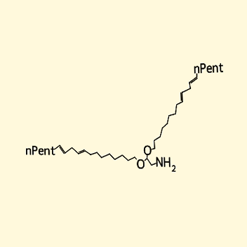 CCCCCC=CCC=CCCCCCCCCOC(CN)OCCCCCCCCC=CCC=CCCCCC